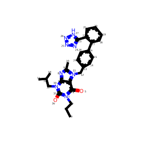 CCCn1c(=O)c2c(nc(C)n2Cc2ccc(-c3ccccc3-c3nnn[nH]3)cc2)n(CC(C)C)c1=O